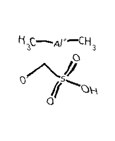 O=S(=O)(O)C[O-].[CH3][Al+][CH3]